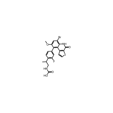 COc1cc(Br)c2[nH]c(=O)c3sccc3c2c1-c1ccc(C(C)CNC(=O)O)c(F)c1